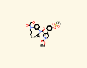 COCCCN1C(=O)COc2ccc(N(C(=O)[C@H]3CN(C(=O)OC(C)(C)C)CC[C@@H]3c3cccc(OS(=O)(=O)C(F)(F)F)c3)C3CC3)cc21